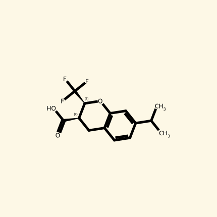 CC(C)c1ccc2c(c1)O[C@H](C(F)(F)F)[C@H](C(=O)O)C2